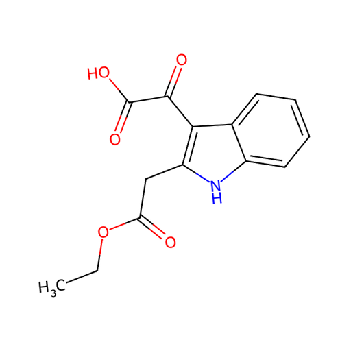 CCOC(=O)Cc1[nH]c2ccccc2c1C(=O)C(=O)O